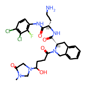 CN1CN(C(O)CCC(=O)N2Cc3ccccc3C[C@H]2C(=O)N[C@@H](CCN)C(=O)Nc2ccc(Cl)c(Cl)c2F)CC1=O